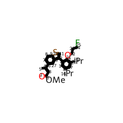 COC(=O)C=C(C)c1ccc2scc(-c3cc(C(C)C)cc(C(C)C)c3OCCCF)c2c1